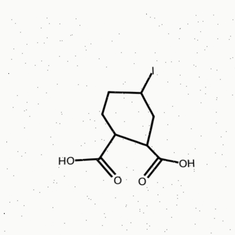 O=C(O)C1CCC(I)CC1C(=O)O